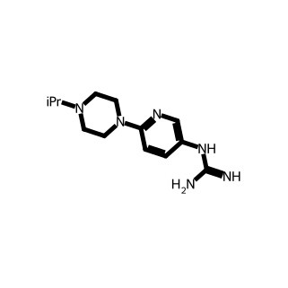 CC(C)N1CCN(c2ccc(NC(=N)N)cn2)CC1